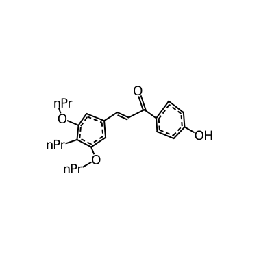 CCCOc1cc(C=CC(=O)c2ccc(O)cc2)cc(OCCC)c1CCC